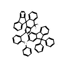 CC1(C)c2ccccc2C2(c3ccccc3-c3ccccc32)c2cc(-c3ccccc3N(c3ccccc3)c3ccc4c(c3)C(c3ccccc3)(c3ccccc3)c3ccccc3-4)ccc21